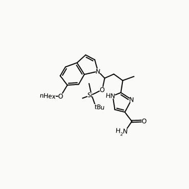 CCCCCCOc1ccc2ccn(C(CC(C)c3nc(C(N)=O)c[nH]3)O[Si](C)(C)C(C)(C)C)c2c1